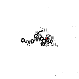 CCCc1nc2ccc(NC3CCN(C(=O)OCc4ccccc4)CC3)nc2n1Cc1ccc(-c2ccccc2S(=O)(=O)N(COC)c2noc(C)c2C)c(COCC)c1